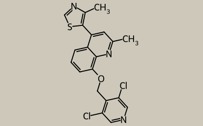 Cc1cc(-c2scnc2C)c2cccc(OCc3c(Cl)cncc3Cl)c2n1